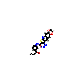 COC(=O)c1cccc(NC(=O)c2sc3nc4cc5c(cc4cc3c2NN)OCCO5)c1